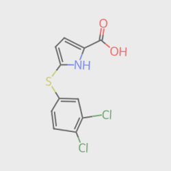 O=C(O)c1ccc(Sc2ccc(Cl)c(Cl)c2)[nH]1